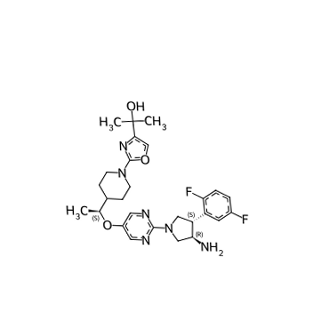 C[C@H](Oc1cnc(N2C[C@H](c3cc(F)ccc3F)[C@@H](N)C2)nc1)C1CCN(c2nc(C(C)(C)O)co2)CC1